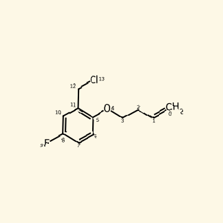 C=CCCOc1ccc(F)cc1CCl